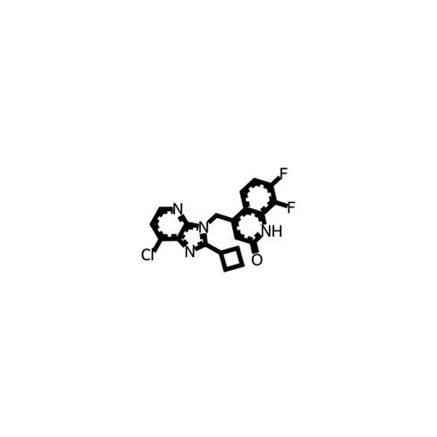 O=c1cc(Cn2c(C3CCC3)nc3c(Cl)ccnc32)c2ccc(F)c(F)c2[nH]1